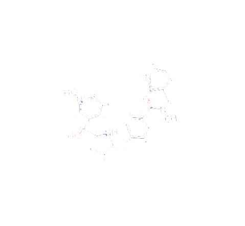 CN(Cc1cccnc1)C(=O)c1ccc(C[C@@H]2CC[C@H]([C@H](O)c3ccc[n+](O)c3)N2)cc1